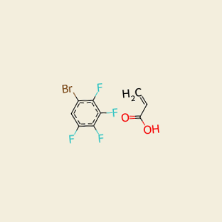 C=CC(=O)O.Fc1cc(Br)c(F)c(F)c1F